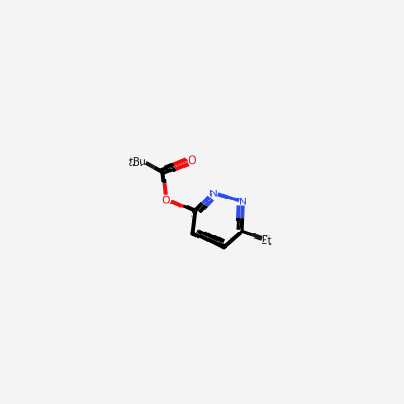 [CH2]Cc1ccc(OC(=O)C(C)(C)C)nn1